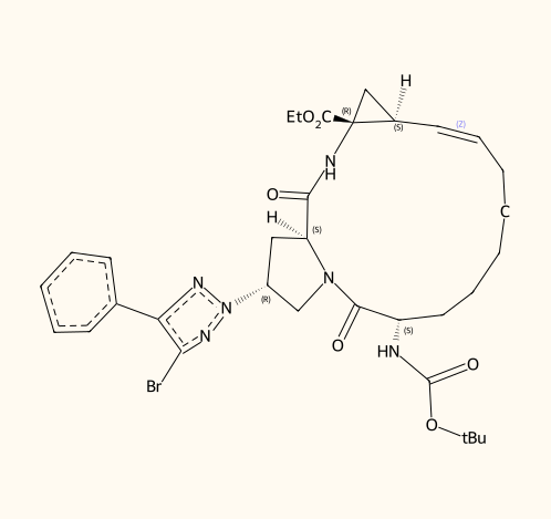 CCOC(=O)[C@@]12C[C@H]1/C=C\CCCCC[C@H](NC(=O)OC(C)(C)C)C(=O)N1C[C@H](n3nc(Br)c(-c4ccccc4)n3)C[C@H]1C(=O)N2